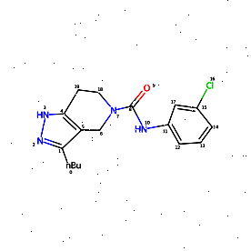 CCCCc1n[nH]c2c1CN(C(=O)Nc1cccc(Cl)c1)CC2